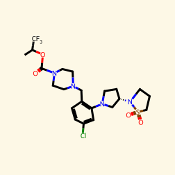 CC(OC(=O)N1CCN(Cc2ccc(Cl)cc2N2CC[C@H](N3CCCS3(=O)=O)C2)CC1)C(F)(F)F